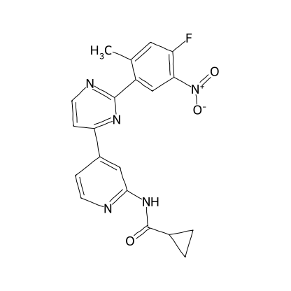 Cc1cc(F)c([N+](=O)[O-])cc1-c1nccc(-c2ccnc(NC(=O)C3CC3)c2)n1